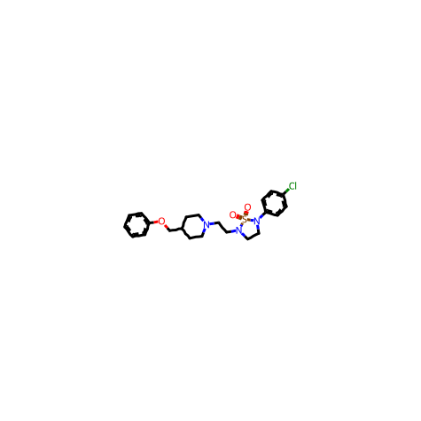 O=S1(=O)N(CCN2CCC(COc3ccccc3)CC2)CCN1c1ccc(Cl)cc1